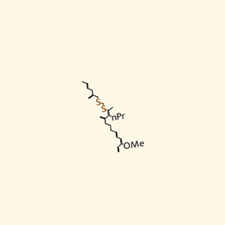 C=C/C(=C\C=C\CCCC(=C)/C(CCC)=C(/C)SCSCC(=C)CC=CC)OC